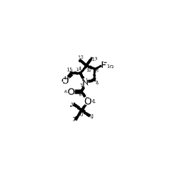 CC(C)(C)OC(=O)N1CC(F)C(C)(C)C1C=O